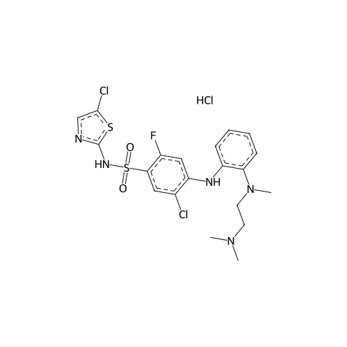 CN(C)CCN(C)c1ccccc1Nc1cc(F)c(S(=O)(=O)Nc2ncc(Cl)s2)cc1Cl.Cl